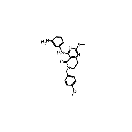 COc1ccc(CN2CCc3nc(SC)nc(Nc4cccc(N)c4)c3C2=O)cc1